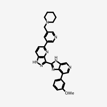 COc1cccc(-c2cncc3[nH]c(-c4n[nH]c5ccc(-c6cncc(CN7CCCCC7)c6)nc45)nc23)c1